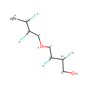 CCCC(F)C(F)COCC(F)C(F)C[O]